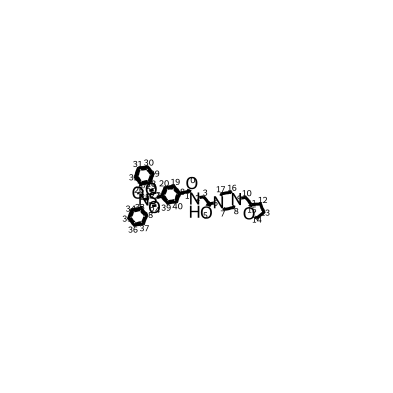 O=C(NCC(=O)N1CCN(CC2CCCO2)CC1)c1ccc(S(=O)(=O)N(Oc2ccccc2)c2ccccc2)cc1